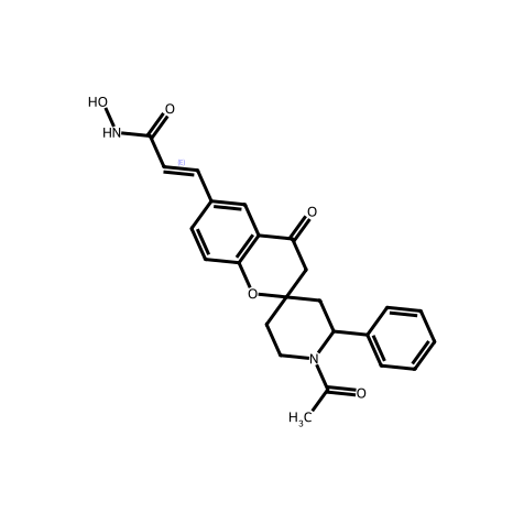 CC(=O)N1CCC2(CC(=O)c3cc(/C=C/C(=O)NO)ccc3O2)CC1c1ccccc1